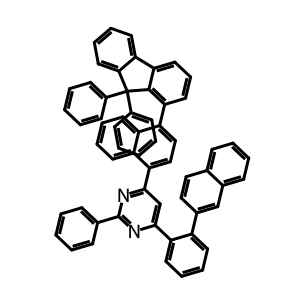 c1ccc(-c2nc(-c3ccccc3-c3ccc4ccccc4c3)cc(-c3ccc(-c4cccc5c4C(c4ccccc4)(c4ccccc4)c4ccccc4-5)c4ccccc34)n2)cc1